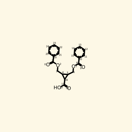 O=C(OCC1C(COC(=O)c2ccccc2)C1C(=O)O)c1ccccc1